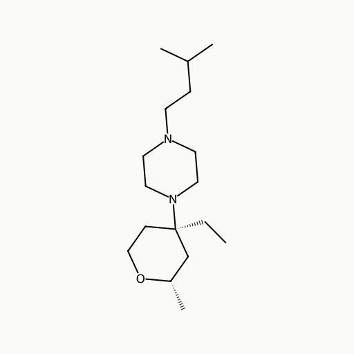 CC[C@@]1(N2CCN(CCC(C)C)CC2)CCO[C@@H](C)C1